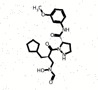 COc1cccc(NC(=O)[C@@H]2CCNN2C(=O)[C@H](CC2CCCC2)CN(O)C=O)c1